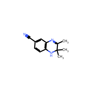 CC1=Nc2cc(C#N)ccc2NC1(C)C